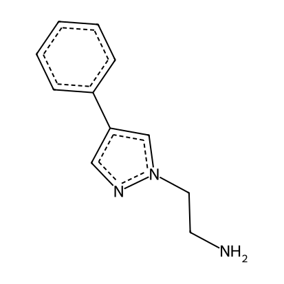 NCCn1cc(-c2ccccc2)cn1